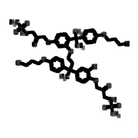 CC(C)(c1ccc(OCCCCl)cc1)c1ccc(OCC(=O)CNS(C)(=O)=O)cc1OCCC(C)(c1ccc(OCCCCl)cc1)c1ccc(OCC(=O)CNS(C)(=O)=O)c(Cl)c1